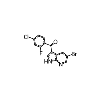 O=C(c1ccc(Cl)cc1F)c1c[nH]c2ncc(Br)cc12